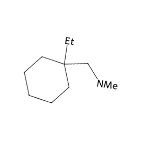 CCC1(CNC)CCCCC1